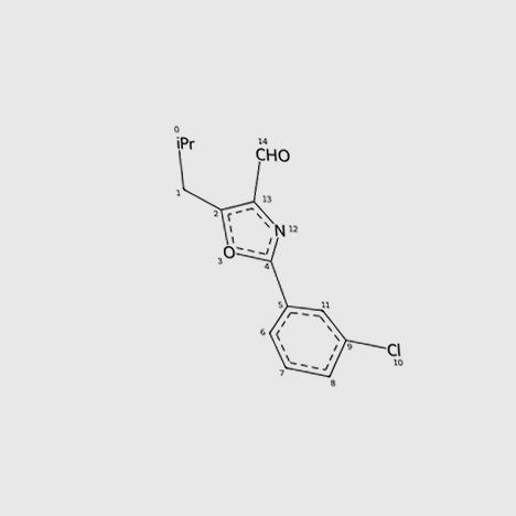 CC(C)Cc1oc(-c2cccc(Cl)c2)nc1C=O